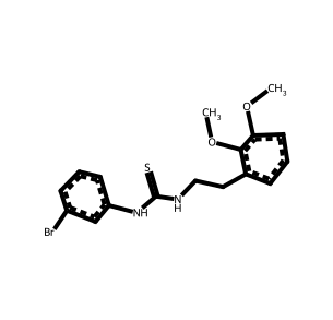 COc1cccc(CCNC(=S)Nc2cccc(Br)c2)c1OC